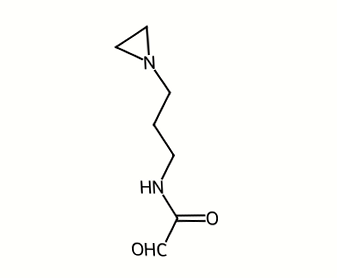 O=CC(=O)NCCCN1CC1